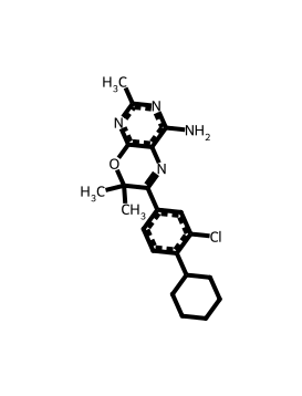 Cc1nc(N)c2c(n1)OC(C)(C)C(c1ccc(C3CCCCC3)c(Cl)c1)=N2